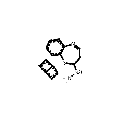 NNC1CC=Nc2ccccc2S1.c1cc2ccc1-2